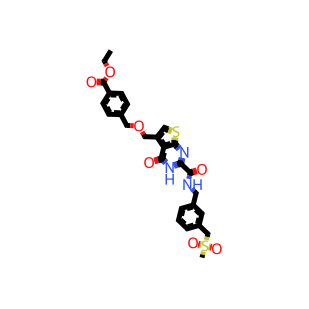 CCOC(=O)c1ccc(COCc2csc3nc(C(=O)NCc4cccc(CS(C)(=O)=O)c4)[nH]c(=O)c23)cc1